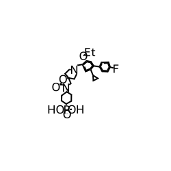 CCOc1cc(-c2ccc(F)cc2)c(C2CC2)cc1CN1CCC2(CC1)CN([C@H]1CC[C@@H](P(=O)(O)O)CC1)C(=O)O2